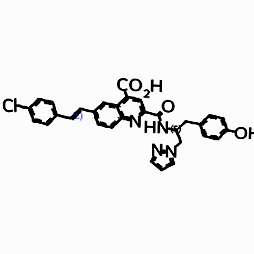 O=C(N[C@@H](Cc1ccc(O)cc1)Cn1cccn1)c1cc(C(=O)O)c2cc(/C=C/c3ccc(Cl)cc3)ccc2n1